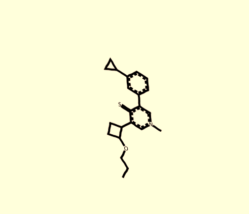 CCCOC1CCC1c1cn(C)cc(-c2cccc(C3CC3)c2)c1=S